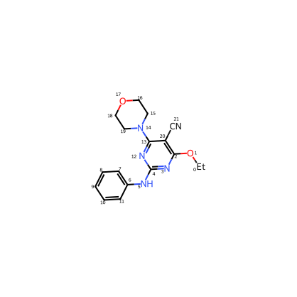 CCOc1nc(Nc2ccccc2)nc(N2CCOCC2)c1C#N